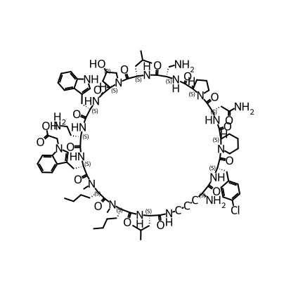 CCCC[C@H]1C(=O)N(C)[C@@H](CCCC)C(=O)N[C@@H](CC(C)C)C(=O)NCCC[C@H](N)C(=O)N[C@@H](Cc2ccc(Cl)cc2)C(=O)N2CCCC[C@H]2C(=O)N[C@@H](CC(N)=O)C(=O)N2CCC[C@H]2C(=O)N[C@@H](CN)C(=O)N[C@@H](CC(C)C)C(=O)N2C[C@H](O)C[C@H]2C(=O)N[C@@H](Cc2c[nH]c3ccccc23)C(=O)N[C@@H](CCN)C(=O)N[C@@H](Cc2cn(CC(=O)O)c3ccccc23)C(=O)N1C